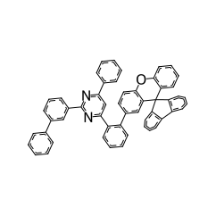 c1ccc(-c2cccc(-c3nc(-c4ccccc4)cc(-c4ccccc4-c4ccc5c(c4)C4(c6ccccc6O5)c5ccccc5-c5ccccc54)n3)c2)cc1